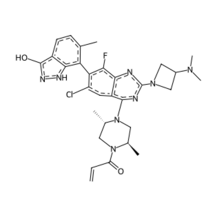 C=CC(=O)N1C[C@H](C)N(c2nc(N3CC(N(C)C)C3)nc3c(F)c(-c4c(C)ccc5c(O)n[nH]c45)c(Cl)cc23)C[C@H]1C